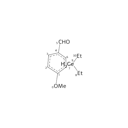 COc1ccc(C=O)cc1.C[CH2][GeH2][CH2]C